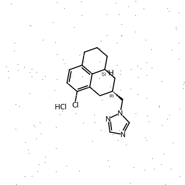 Cl.Clc1ccc2c3c1C[C@H](Cn1cncn1)C[C@@H]3CCC2